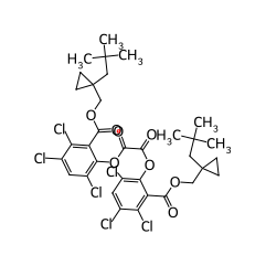 CC(C)(C)CC1(COC(=O)c2c(Cl)c(Cl)cc(Cl)c2OC(=O)C(=O)Oc2c(Cl)cc(Cl)c(Cl)c2C(=O)OCC2(CC(C)(C)C)CC2)CC1